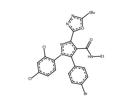 CCNC(=O)c1c(-c2nnc(C(C)(C)C)o2)nn(-c2ccc(Cl)cc2Cl)c1-c1ccc(Br)cc1